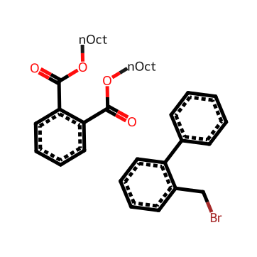 BrCc1ccccc1-c1ccccc1.CCCCCCCCOC(=O)c1ccccc1C(=O)OCCCCCCCC